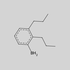 Bc1cccc(CCC)c1CCC